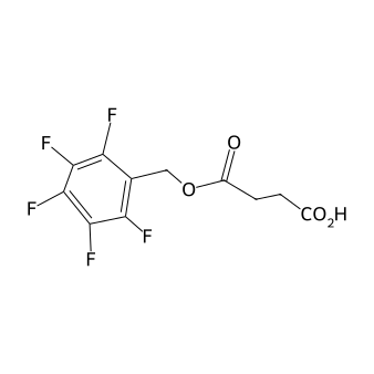 O=C(O)CCC(=O)OCc1c(F)c(F)c(F)c(F)c1F